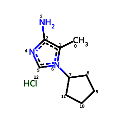 Cc1c(N)ncn1C1CCCC1.Cl